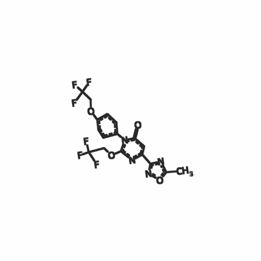 Cc1nc(-c2cc(=O)n(-c3ccc(OCC(F)(F)F)cc3)c(OCC(F)(F)F)n2)no1